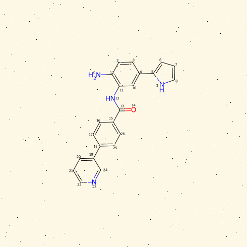 Nc1ccc(-c2ccc[nH]2)cc1NC(=O)c1ccc(-c2cccnc2)cc1